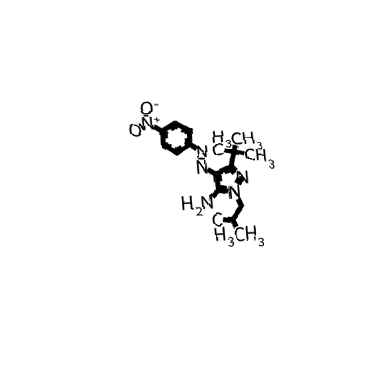 CC(C)Cn1nc(C(C)(C)C)c(N=Nc2ccc([N+](=O)[O-])cc2)c1N